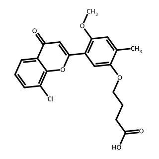 COc1cc(C)c(OCCCC(=O)O)cc1-c1cc(=O)c2cccc(Cl)c2o1